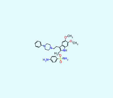 COc1cc2[nH]c(C)c(CCN3CCN(c4ccccc4)CC3)c2cc1OC.Nc1ccc(S(N)(=O)=O)cc1